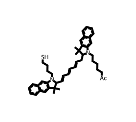 CC(=O)CCCCCN1c2cc3ccccc3cc2C(C)(C)C1C/C=C/C=C/C=C/C1N(CCCCS)c2cc3ccccc3cc2C1(C)C